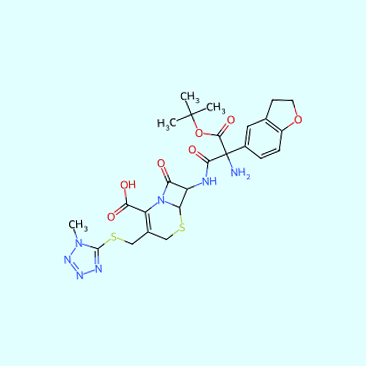 Cn1nnnc1SCC1=C(C(=O)O)N2C(=O)C(NC(=O)C(N)(C(=O)OC(C)(C)C)c3ccc4c(c3)CCO4)C2SC1